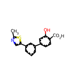 Cc1ncc(-c2cccc(-c3ccc(C(=O)O)c(O)c3)c2)s1